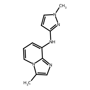 Cc1cnc2c(Nc3ccn(C)n3)cccn12